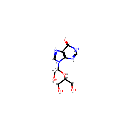 O=c1[nH]cnc2c1ncn2[C@@H](CO)OC(CO)CO